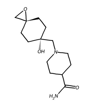 NC(=O)C1CCN(C[C@]2(O)CC[C@@]3(CC2)CO3)CC1